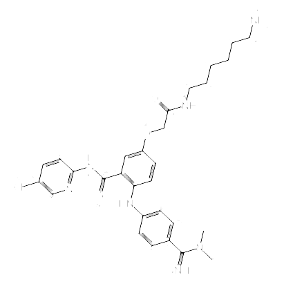 CN(C)C(=N)c1ccc(Nc2ccc(OCC(=O)NCCCCCCN)cc2C(=O)Nc2ccc(Cl)cn2)cc1